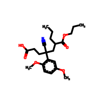 CCCOC(=O)C(CCC)CC(C#N)(CCC(=O)O)c1cc(OC)ccc1OC